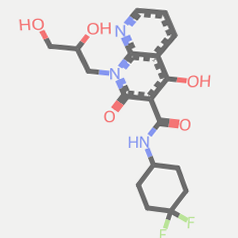 O=C(NC1CCC(F)(F)CC1)c1c(O)c2cccnc2n(CC(O)CO)c1=O